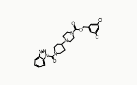 O=C(OCc1cc(Cl)cc(Cl)c1)N1CCN(C2CCN(C(=O)n3nnc4ccccc43)CC2)CC1